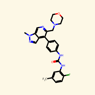 Cn1ncc2c(-c3ccc(NC(=O)Nc4cc(C(F)(F)F)ccc4F)cc3)c(CN3CCOCC3)ncc21